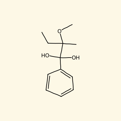 CCC(C)(OC)C(O)(O)c1ccccc1